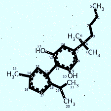 CCCCC(C)(C)c1cc(O)c(-c2cc(C)ccc2C(C)C)c(O)c1